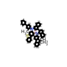 Cc1cc(-c2ccccc2)ccc1N1c2cc3sc4ccccc4c3cc2B2c3c1cc1ccccc1c3-c1ccc3ccccc3c1N2c1ccc2c(c1)C(C)(C)c1ccccc1-2